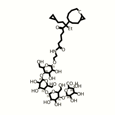 CCC(CCC1CC1)(C(=O)CCCCC(=O)NCCO[C@H]1OC(CO)[C@H](O[C@H]2OC(CO)[C@@H](O[C@@H]3OC(CO)[C@@H](O[C@@H]4OC(C(=O)O)[C@H](O)C(O)C4O)C(O)C3O)C(O)C2O)C(O)C1O)C1CCCCCC2CC2CC1